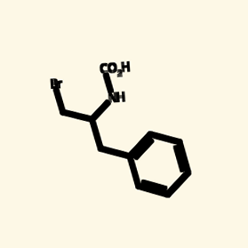 O=C(O)NC(CBr)Cc1ccccc1